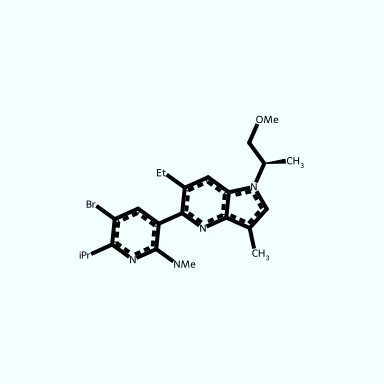 CCc1cc2c(nc1-c1cc(Br)c(C(C)C)nc1NC)c(C)cn2[C@H](C)COC